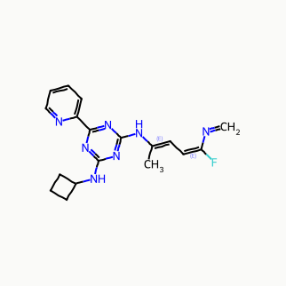 C=N/C(F)=C\C=C(/C)Nc1nc(NC2CCC2)nc(-c2ccccn2)n1